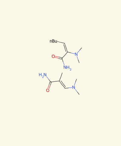 C/C(=C\N(C)C)C(N)=O.CCCC/C=C(\C(N)=O)N(C)C